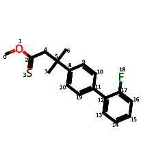 COC(=S)CC(C)(C)c1ccc(-c2ccccc2F)cc1